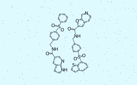 O=C(NCc1ccc(S(=O)(=O)c2cccc3ccsc23)cc1)c1cc2ccncc2o1.O=C(NCc1ccc(S(=O)(=O)c2ccccc2)cc1)c1cnc2[nH]ccc2c1